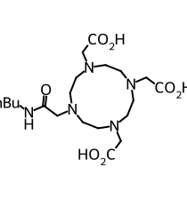 CCCCNC(=O)CN1CCN(CC(=O)O)CCN(CC(=O)O)CCN(CC(=O)O)CC1